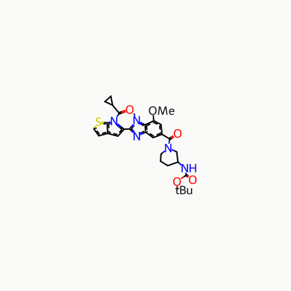 COc1cc(C(=O)N2CCCC(NC(=O)OC(C)(C)C)C2)cc2nc(-c3cc4ccsc4n3C(=O)C3CC3)n(C)c12